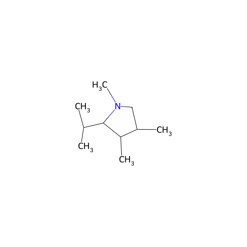 CC(C)C1C(C)C(C)CN1C